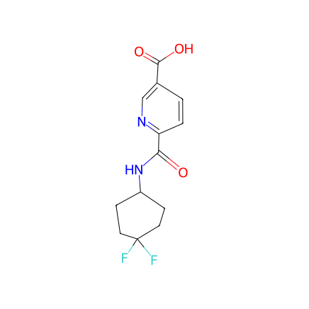 O=C(O)c1ccc(C(=O)NC2CCC(F)(F)CC2)nc1